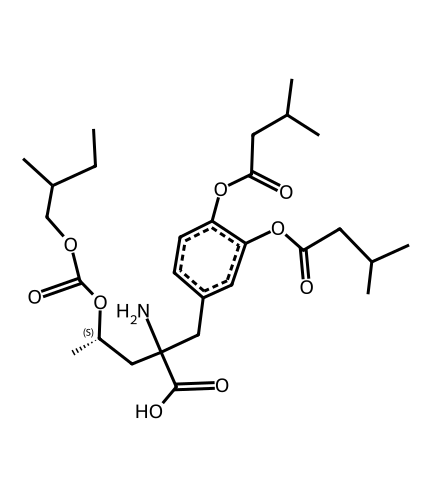 CCC(C)COC(=O)O[C@@H](C)CC(N)(Cc1ccc(OC(=O)CC(C)C)c(OC(=O)CC(C)C)c1)C(=O)O